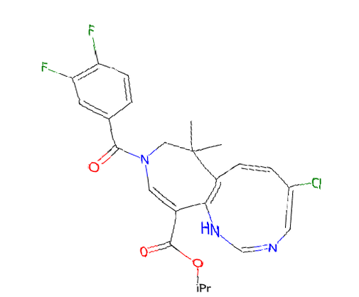 CC(C)OC(=O)C1=CN(C(=O)c2ccc(F)c(F)c2)CC(C)(C)c2ccc(Cl)cnc[nH]c21